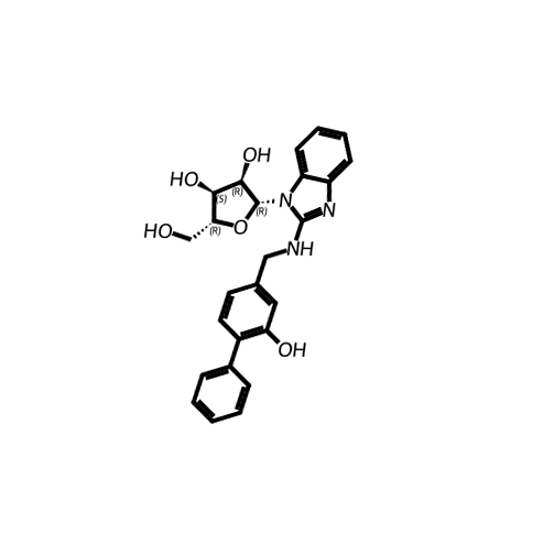 OC[C@H]1O[C@@H](n2c(NCc3ccc(-c4ccccc4)c(O)c3)nc3ccccc32)[C@H](O)[C@@H]1O